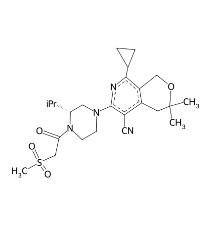 CC(C)[C@@H]1CN(c2nc(C3CC3)c3c(c2C#N)CC(C)(C)OC3)CCN1C(=O)CS(C)(=O)=O